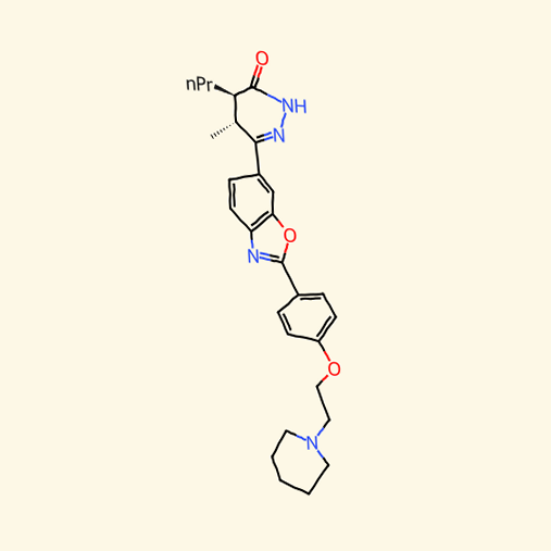 CCC[C@H]1C(=O)NN=C(c2ccc3nc(-c4ccc(OCCN5CCCCC5)cc4)oc3c2)[C@@H]1C